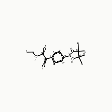 CCOC(=O)C(=O)c1ccc(B2OC(C)(C)C(C)(C)O2)cc1